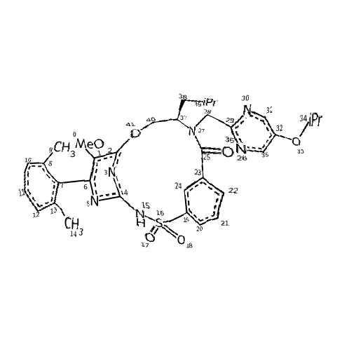 COc1c2nc(nc1-c1c(C)cccc1C)NS(=O)(=O)c1cccc(c1)C(=O)N(Cc1ncc(OC(C)C)cn1)[C@H](CC(C)C)CO2